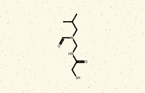 CC(C)CN([C]=O)CNC(=O)CS